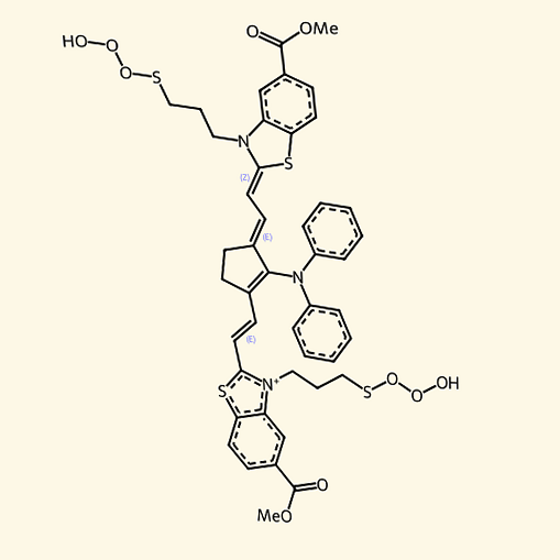 COC(=O)c1ccc2c(c1)N(CCCSOOO)/C(=C/C=C1\CCC(/C=C/c3sc4ccc(C(=O)OC)cc4[n+]3CCCSOOO)=C1N(c1ccccc1)c1ccccc1)S2